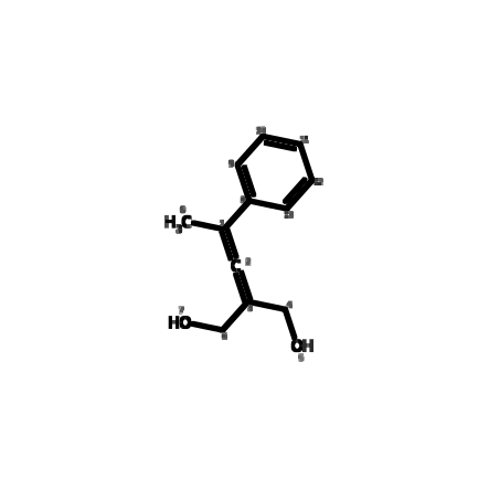 CC(=C=C(CO)CO)c1ccccc1